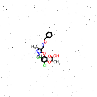 Cc1nn(C)c(Oc2cc(O[C@@H](C)C(=O)O)c(Cl)cc2Cl)c1C=NOCc1ccccc1